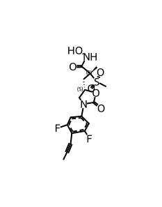 CC#Cc1c(F)cc(N2C[C@H](C[C@](C)(C(=O)NO)S(C)(=O)=O)OC2=O)cc1F